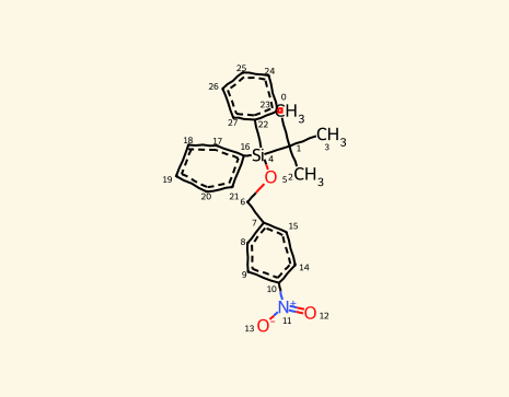 CC(C)(C)[Si](OCc1ccc([N+](=O)[O-])cc1)(c1ccccc1)c1ccccc1